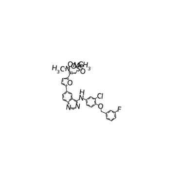 CON(C)[C@@H](CS(C)(=O)=O)c1ccc(-c2ccc3ncnc(Nc4ccc(OCc5cccc(F)c5)c(Cl)c4)c3c2)o1